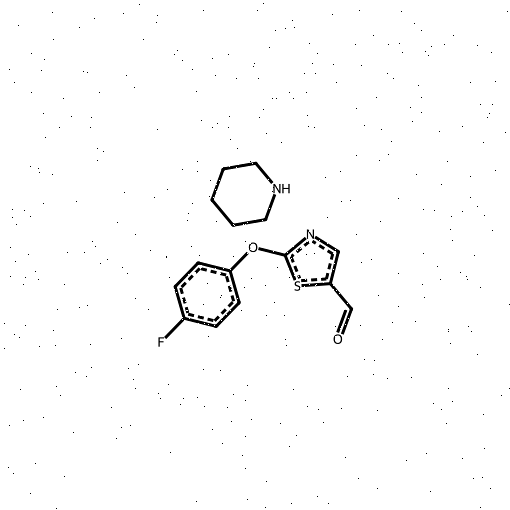 C1CCNCC1.O=Cc1cnc(Oc2ccc(F)cc2)s1